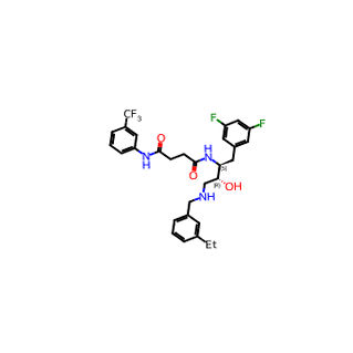 CCc1cccc(CNC[C@@H](O)[C@H](Cc2cc(F)cc(F)c2)NC(=O)CCC(=O)Nc2cccc(C(F)(F)F)c2)c1